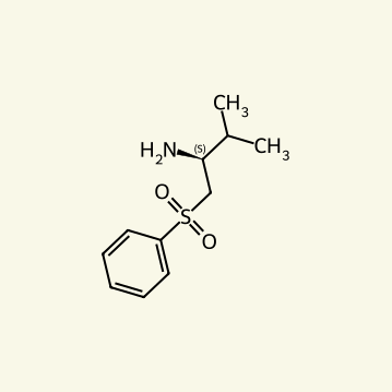 CC(C)[C@H](N)CS(=O)(=O)c1ccccc1